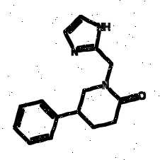 O=C1CCC(c2ccccc2)CN1Cc1ncc[nH]1